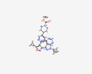 CC(C)(C)OC(=O)N1CCC(c2cnc(-c3c(-c4nn(C56CC(C5)C6)c5ncnc(N)c45)noc3C3CC3)nc2)CC1